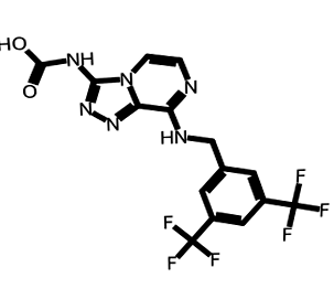 O=C(O)Nc1nnc2c(NCc3cc(C(F)(F)F)cc(C(F)(F)F)c3)nccn12